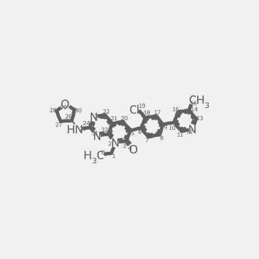 CCn1c(=O)c(-c2ccc(-c3cncc(C)c3)cc2Cl)cc2cnc(N[C@@H]3CCOC3)nc21